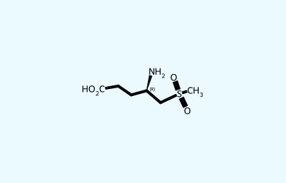 CS(=O)(=O)C[C@H](N)CCC(=O)O